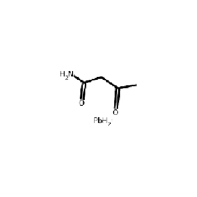 CC(=O)CC(N)=O.[PbH2]